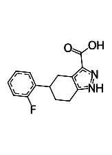 O=C(O)c1n[nH]c2c1CC(c1ccccc1F)CC2